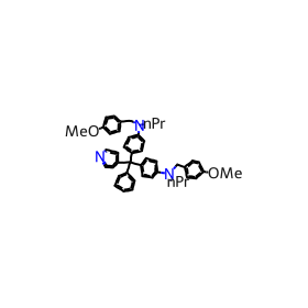 CCCN(Cc1ccc(OC)cc1)c1ccc(C(c2ccccc2)(c2ccncc2)c2ccc(N(CCC)Cc3ccc(OC)cc3)cc2)cc1